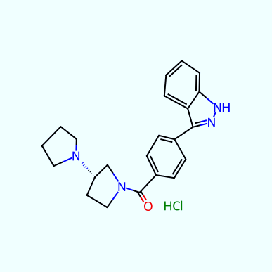 Cl.O=C(c1ccc(-c2n[nH]c3ccccc23)cc1)N1CC[C@H](N2CCCC2)C1